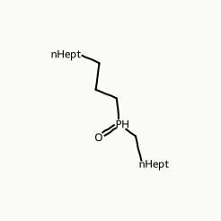 CCCCCCCCCC[PH](=O)CCCCCCCC